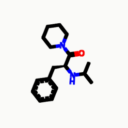 CC(C)N[C@@H](Cc1ccccc1)C(=O)N1CCCCC1